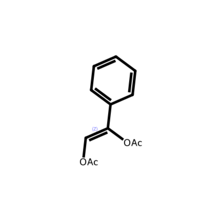 CC(=O)O/C=C(\OC(C)=O)c1ccccc1